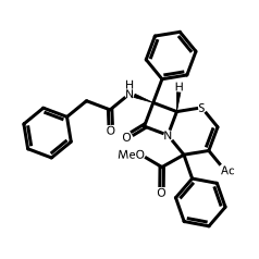 COC(=O)C1(c2ccccc2)C(C(C)=O)=CS[C@@H]2N1C(=O)[C@]2(NC(=O)Cc1ccccc1)c1ccccc1